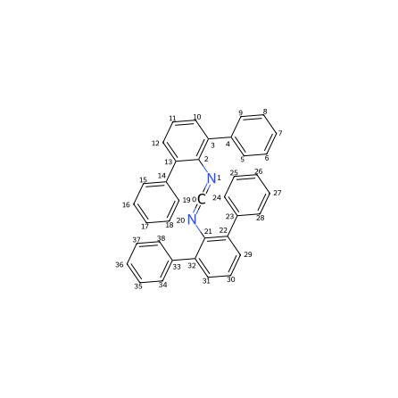 C(=Nc1c(-c2ccccc2)cccc1-c1ccccc1)=Nc1c(-c2ccccc2)cccc1-c1ccccc1